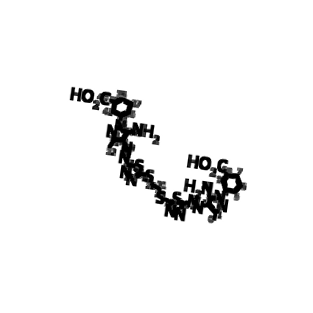 Cc1nn(-c2cccc(C(=O)O)c2)c(N)c1N=Nc1nnc(SCCSc2nnc(N=Nc3c(C)nn(-c4cccc(C(=O)O)c4)c3N)s2)s1